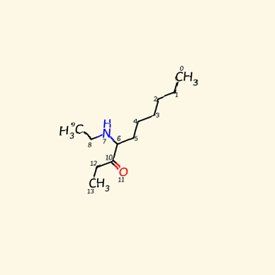 CCCCCCC(NCC)C(=O)CC